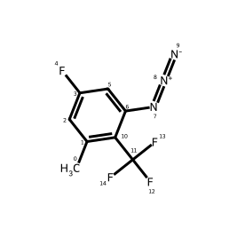 Cc1cc(F)cc(N=[N+]=[N-])c1C(F)(F)F